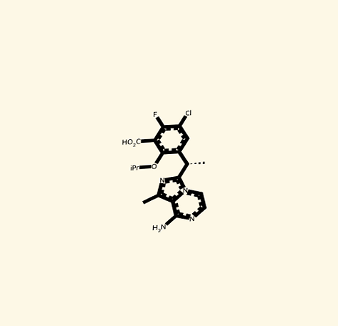 Cc1nc([C@@H](C)c2cc(Cl)c(F)c(C(=O)O)c2OC(C)C)n2ccnc(N)c12